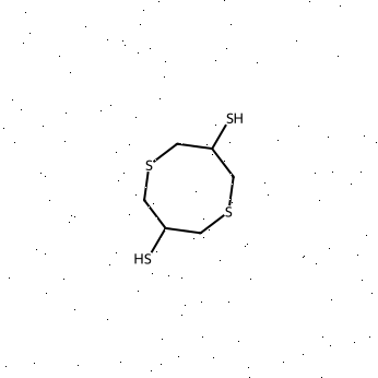 SC1CSCC(S)CSC1